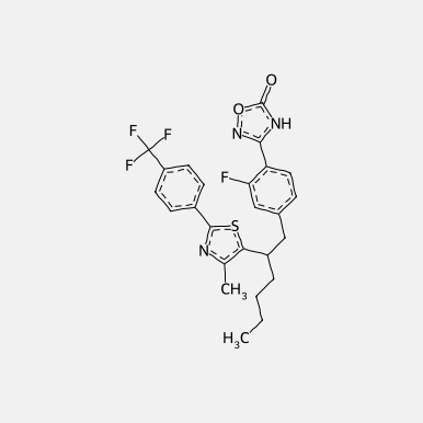 CCCCC(Cc1ccc(-c2noc(=O)[nH]2)c(F)c1)c1sc(-c2ccc(C(F)(F)F)cc2)nc1C